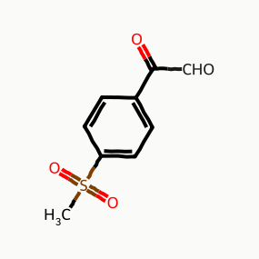 CS(=O)(=O)c1ccc(C(=O)C=O)cc1